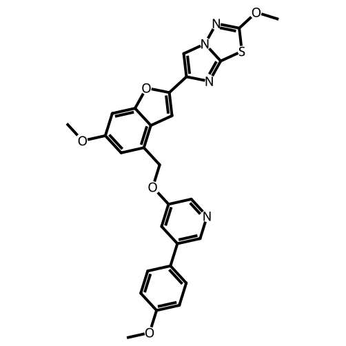 COc1ccc(-c2cncc(OCc3cc(OC)cc4oc(-c5cn6nc(OC)sc6n5)cc34)c2)cc1